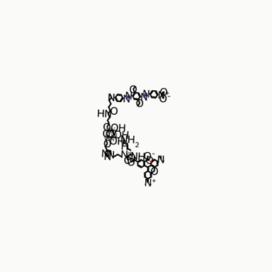 COc1cc(/N=N/c2ccc([N+](=O)[O-])cc2)c(OC)cc1/N=N/c1ccc(N(C)CCCC(=O)NCCCO[C@@H]2O[C@H](COCc3cn(CCCNC(=O)[C@H](CCCCN)NC(=O)c4ccc(-c5c6ccc(=[N+](C)C)cc-6oc6cc(N(C)C)ccc56)c(C(=O)[O-])c4)nn3)[C@@H](O)[C@H](O)[C@H]2O)cc1